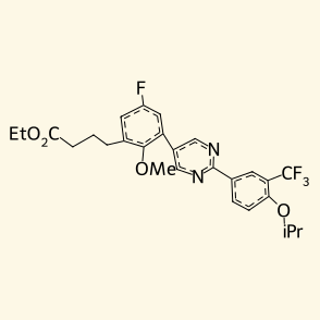 CCOC(=O)CCCc1cc(F)cc(-c2cnc(-c3ccc(OC(C)C)c(C(F)(F)F)c3)nc2)c1OC